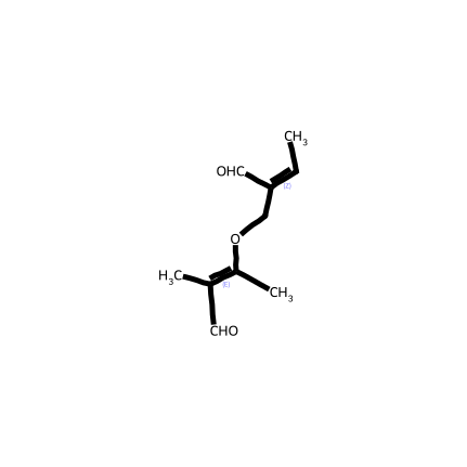 C/C=C(\C=O)CO/C(C)=C(\C)C=O